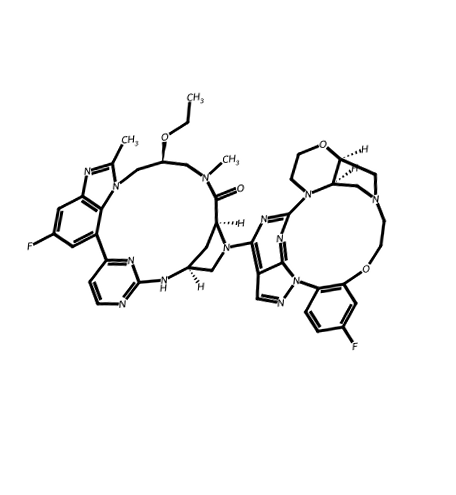 CCO[C@H]1CN(C)C(=O)[C@@H]2C[C@@H](CN2c2nc3nc4c2cnn4-c2ccc(F)cc2OCCN2C[C@@H]4OCCN3[C@@H]4C2)Nc2nccc(n2)-c2cc(F)cc3nc(C)n(c23)C1